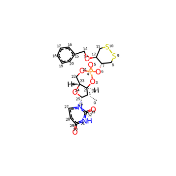 C[C@H]1[C@@H]2OP(=O)(O[C@H]3CSSC[C@@H]3OCc3ccccc3)OC[C@H]2O[C@H]1n1ccc(=O)[nH]c1=O